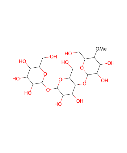 COC1C(CO)OC(OC2C(CO)OC(OC3OC(CO)C(O)C(O)C3O)C(O)C2O)C(O)C1O